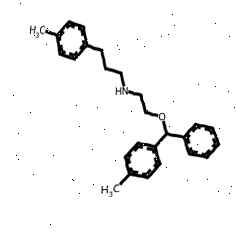 Cc1ccc(CCCNCCOC(c2ccccc2)c2ccc(C)cc2)cc1